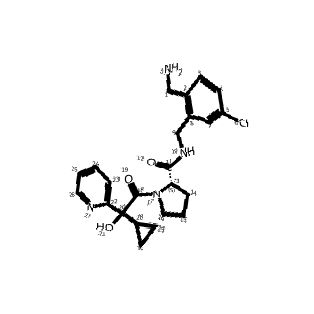 NCc1ccc(Cl)cc1CNC(=O)[C@@H]1CCCN1C(=O)C(O)(c1ccccn1)C1CC1